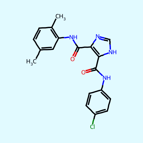 Cc1ccc(C)c(NC(=O)c2nc[nH]c2C(=O)Nc2ccc(Cl)cc2)c1